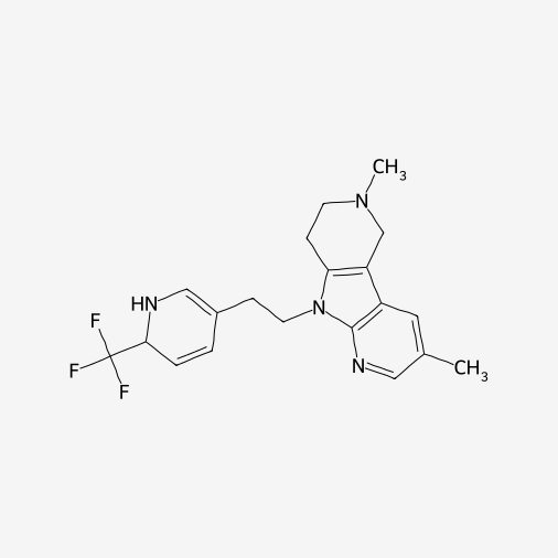 Cc1cnc2c(c1)c1c(n2CCC2=CNC(C(F)(F)F)C=C2)CCN(C)C1